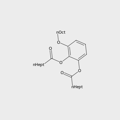 CCCCCCCCOc1cccc(OC(=O)CCCCCCC)c1OC(=O)CCCCCCC